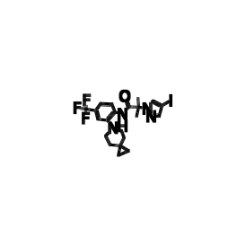 CC(C)(C(=O)Nc1ccc(C(F)(F)F)cc1N1CCC2(CC1)CC2)n1cc(I)cn1